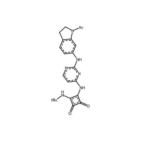 CC(=O)N1CCc2ccc(Nc3nccc(Nc4c(NC(C)(C)C)c(=O)c4=O)n3)cc21